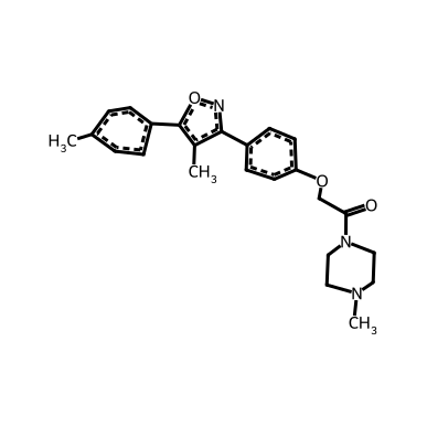 Cc1ccc(-c2onc(-c3ccc(OCC(=O)N4CCN(C)CC4)cc3)c2C)cc1